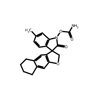 Cc1ccc2c(c1)N(OC(N)=O)C(=O)C21COc2cc3c(cc21)CCCC3